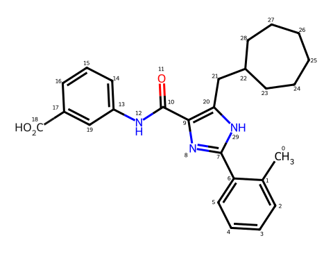 Cc1ccccc1-c1nc(C(=O)Nc2cccc(C(=O)O)c2)c(CC2CCCCCC2)[nH]1